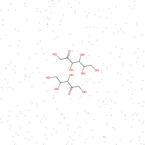 O=C(CO)C(O)C(O)C(O)CO.O=C(CO)C(O)C(O)CO